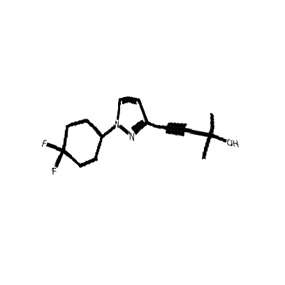 CC(C)(O)C#Cc1ccn(C2CCC(F)(F)CC2)n1